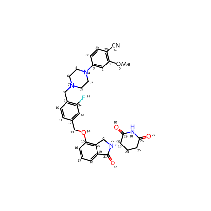 COc1cc(N2CCN(Cc3ccc(COc4cccc5c4CN([C@H]4CCC(=O)NC4=O)C5=O)cc3F)CC2)ccc1C#N